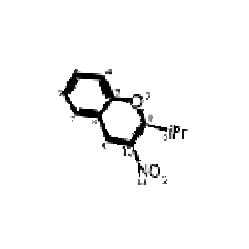 CC(C)[C@@H]1Oc2ccccc2C[C@@H]1[N+](=O)[O-]